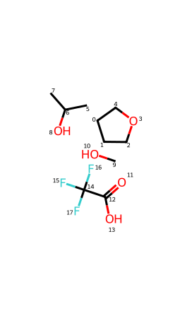 C1CCOC1.CC(C)O.CO.O=C(O)C(F)(F)F